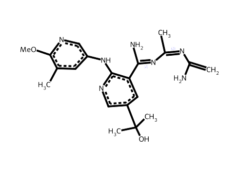 C=C(N)/N=C(C)\N=C(/N)c1cc(C(C)(C)O)cnc1Nc1cnc(OC)c(C)c1